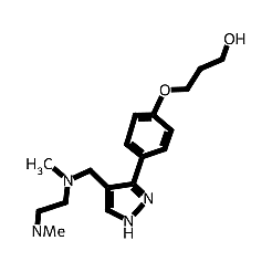 CNCCN(C)Cc1c[nH]nc1-c1ccc(OCCCO)cc1